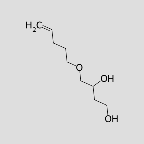 C=CCCCOCC(O)CCO